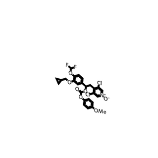 COc1ccc(OC(=O)OC(Cc2c(Cl)c[n+]([O-])cc2Cl)c2ccc(OC(F)F)c(OCC3CC3)c2)cc1